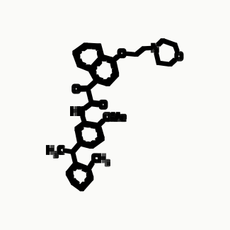 COc1ccc(C(C)c2ccccc2C)cc1NC(=O)C(=O)c1ccc(OCCN2CCOCC2)c2ccccc12